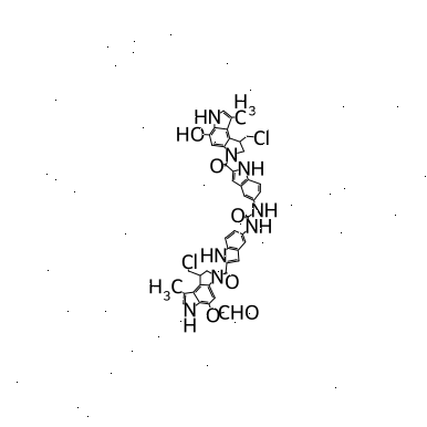 Cc1c[nH]c2c(O)cc3c(c12)C(CCl)CN3C(=O)c1cc2cc(NC(=O)Nc3ccc4[nH]c(C(=O)N5CC(CCl)c6c5cc(OC=O)c5[nH]cc(C)c65)cc4c3)ccc2[nH]1